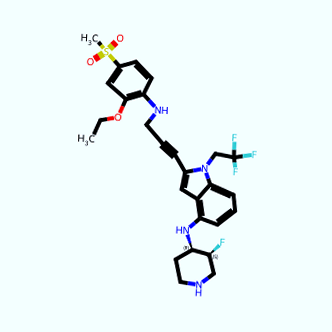 CCOc1cc(S(C)(=O)=O)ccc1NCC#Cc1cc2c(N[C@@H]3CCNC[C@@H]3F)cccc2n1CC(F)(F)F